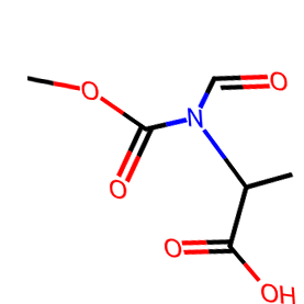 COC(=O)N(C=O)C(C)C(=O)O